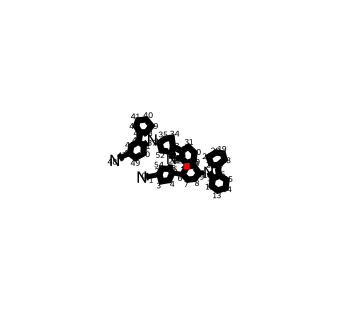 N#Cc1ccc(-c2ccc(-n3c4ccccc4c4ccccc43)cc2)c(-n2c3ccccc3c3ccc(-n4c5ccccc5c5cc(C#N)ccc54)cc32)c1